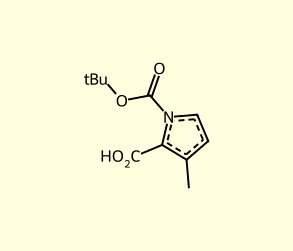 Cc1ccn(C(=O)OC(C)(C)C)c1C(=O)O